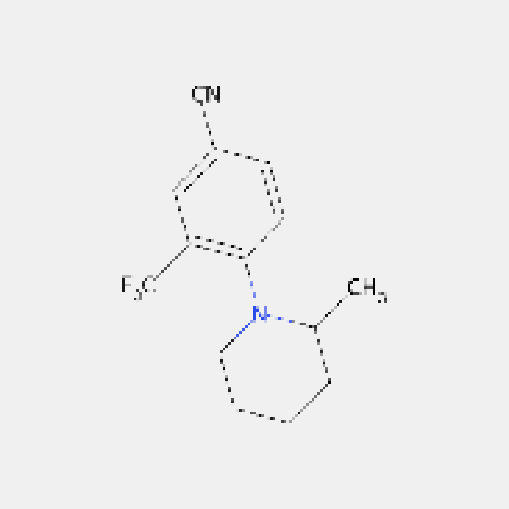 CC1CCCCN1c1ccc(C#N)cc1C(F)(F)F